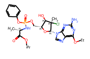 CCOc1nc(N)nc2c1ncn2[C@@H]1O[C@H](COP(=O)(N[C@@H](C)C(=O)OC(C)C)Oc2ccccc2)[C@@H](O)[C@@]1(C)Cl